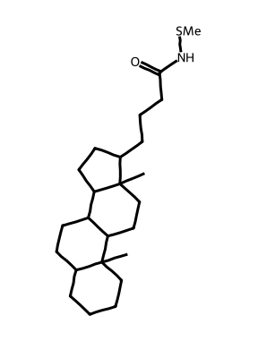 CSNC(=O)CCCC1CCC2C3CCC4CCCCC4(C)C3CCC12C